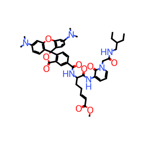 CCC(CC)CNC(=O)Cn1cccc(NC(=O)C(CCC=CC(=O)OC)NC(=O)c2ccc3c(c2)C(=O)OC32c3ccc(N(C)C)cc3Oc3cc(N(C)C)ccc32)c1=O